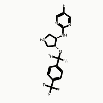 [2H]C([2H])(O[C@@H]1CNC[C@H]1Nc1ncc(F)cn1)c1ccc(C(F)(F)F)cc1